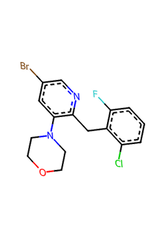 Fc1cccc(Cl)c1Cc1ncc(Br)cc1N1CCOCC1